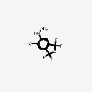 NNc1cc2c(cc1Cl)C(F)(F)OC2(F)F